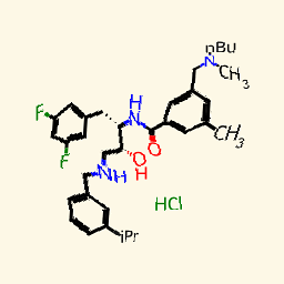 CCCCN(C)Cc1cc(C)cc(C(=O)N[C@@H](Cc2cc(F)cc(F)c2)[C@H](O)CNCc2cccc(C(C)C)c2)c1.Cl